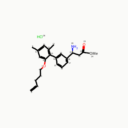 C=CCCCOc1cc(C)cc(C)c1-c1cccc([C@@H](N)CC(=O)OC)c1.Cl